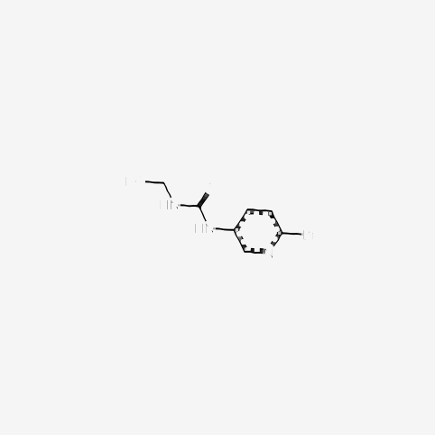 CCNC(=S)Nc1ccc(Br)nc1